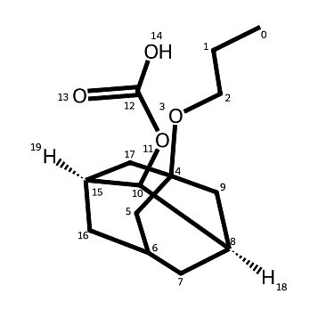 CCCOC12CC3C[C@H](C1)C(OC(=O)O)[C@@H](C3)C2